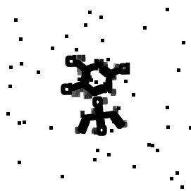 C=CS(=O)(=O)C=C.Clc1ncc(Cl)c(Cl)n1